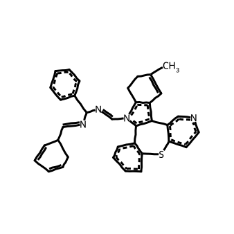 CC1=Cc2c3c(n(/C=N/C(/N=C/C4C=CC=CC4)c4ccccc4)c2CC1)-c1ccccc1Sc1ccncc1-3